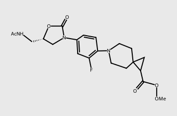 COOC(=O)C1CC12CCN(c1ccc(N3C[C@H](CNC(C)=O)OC3=O)cc1F)CC2